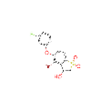 O=S1(=O)CC(O)c2c1ccc(Oc1cccc(F)c1)c2Br